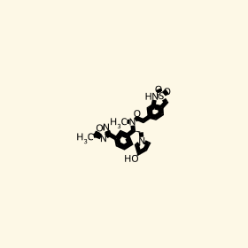 Cc1nc(-c2cccc([C@@H](CN3CC[C@H](O)C3)N(C)C(=O)Cc3ccc4c(c3)NS(=O)(=O)C4)c2)no1